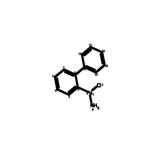 [NH2][Pd]([Cl])[c]1ccccc1-c1ccccc1